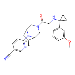 COc1cccc(C2(NCC(=O)N3CC4C[C@H](C)C(C3)N4c3ccc(C#N)cn3)CC2)c1